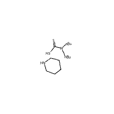 C1CCNCC1.CCCCN(CCCC)C(=S)S